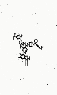 Cc1cc2[nH]ncc2c(N2CCc3c(nc(OC[C@@H]4CC(F)(F)CN4C)nc3N3CCN(C(=O)C#CCF)CC3)C2)c1C